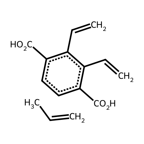 C=CC.C=Cc1c(C(=O)O)ccc(C(=O)O)c1C=C